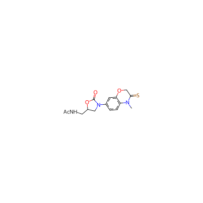 CC(=O)NCC1CN(c2ccc3c(c2)OCC(=S)N3C)C(=O)O1